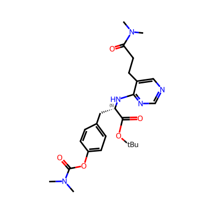 CN(C)C(=O)CCc1cncnc1N[C@@H](Cc1ccc(OC(=O)N(C)C)cc1)C(=O)OC(C)(C)C